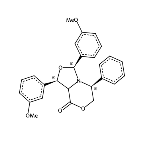 COc1cccc([C@H]2O[C@@H](c3cccc(OC)c3)N3C2C(=O)OC[C@@H]3c2ccccc2)c1